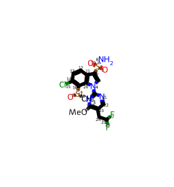 COc1nc(-n2cc(S(N)(=O)=O)c3ccc(Cl)c([S+](C)[O-])c32)ncc1CC(F)F